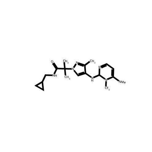 CNC1=CC=NC(Nc2cn(C(C)(C)C(=O)NCC3CC3)nc2C)N1C(F)(F)F